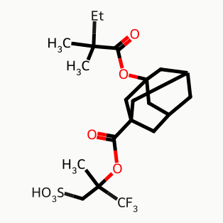 CCC(C)(C)C(=O)OC12CC3CC(C1)CC(C(=O)OC(C)(CS(=O)(=O)O)C(F)(F)F)(C3)C2